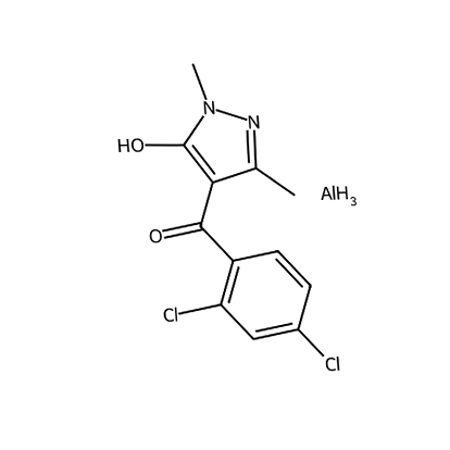 Cc1nn(C)c(O)c1C(=O)c1ccc(Cl)cc1Cl.[AlH3]